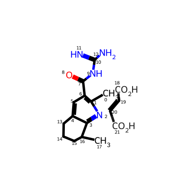 Cc1nc2c(cc1C(=O)NC(=N)N)CCCC2C.O=C(O)/C=C/C(=O)O